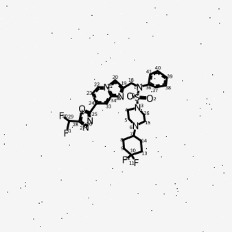 O=S(=O)(N1CCN(C2CCC(F)(F)CC2)CC1)N(Cc1cn2ccc(-c3nnc(C(F)F)o3)cc2n1)c1ccccc1